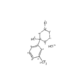 CCN1CCOC(O)(c2cccc(C(F)(F)F)c2)C1.Cl